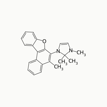 Cc1c(N2C=CN(C)C2(C)C)c2oc3ccccc3c2c2ccccc12